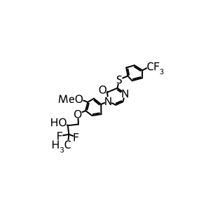 COc1cc(-n2ccnc(Sc3ccc(C(F)(F)F)cc3)c2=O)ccc1OCC(O)C(C)(F)F